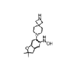 CC1(C)Cc2cc(NO)c(N3CCC4(CC3)CNC4)cc2O1